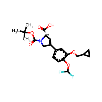 CC(C)(C)OC(=O)N1CC(c2ccc(OC(F)F)c(OCC3CC3)c2)=C[C@H]1C(=O)O